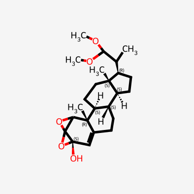 COC(OC)C(C)[C@H]1CC[C@H]2[C@@H]3CCC4=C[C@]5(O)OC56OC6[C@]4(C)[C@H]3CC[C@]12C